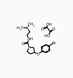 CN(C)CCNC(=O)N1CCC(Oc2ccc(Br)cc2)C1.O=C(O)C(=O)O